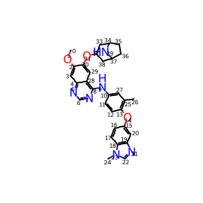 COc1cc2ncnc(Nc3ccc(Oc4ccc5c(c4)ncn5C)c(C)c3)c2cc1OC1CC2CCC(C1)N2